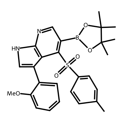 COc1ccccc1-c1c[nH]c2ncc(B3OC(C)(C)C(C)(C)O3)c(S(=O)(=O)c3ccc(C)cc3)c12